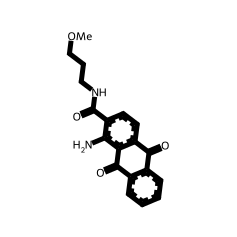 COCCCNC(=O)c1ccc2c(c1N)C(=O)c1ccccc1C2=O